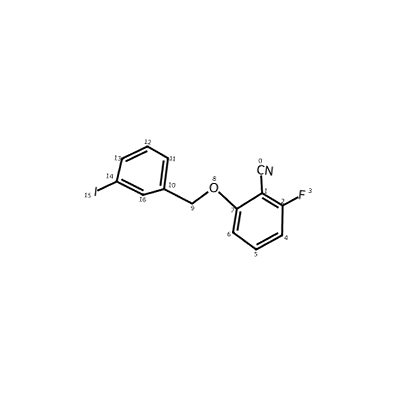 N#Cc1c(F)cccc1OCc1cccc(I)c1